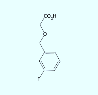 O=C(O)COCc1cccc(F)c1